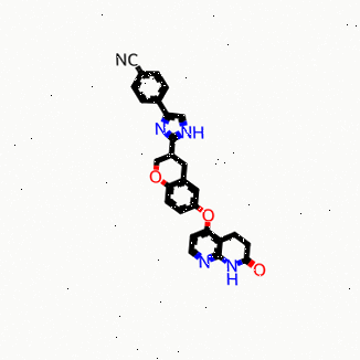 N#Cc1ccc(-c2c[nH]c(C3COc4ccc(Oc5ccnc6c5CCC(=O)N6)cc4C3)n2)cc1